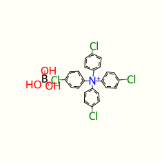 Clc1ccc([N+](c2ccc(Cl)cc2)(c2ccc(Cl)cc2)c2ccc(Cl)cc2)cc1.OB(O)O